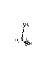 C=CCCCCCCCCC[N+](C)(C)CCCS(=O)(=O)O